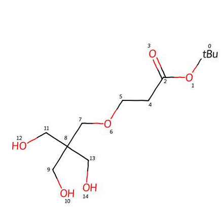 CC(C)(C)OC(=O)CCOCC(CO)(CO)CO